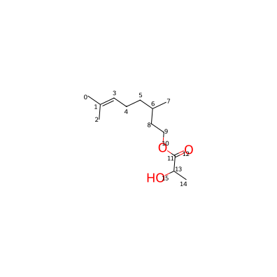 CC(C)=CCCC(C)CCOC(=O)C(C)O